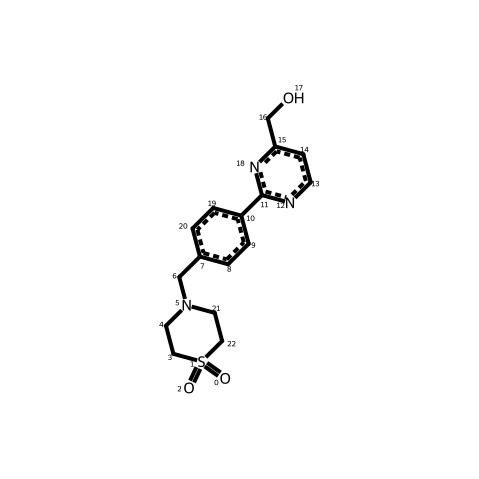 O=S1(=O)CCN(Cc2ccc(-c3nccc(CO)n3)cc2)CC1